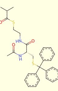 CC(=O)N[C@@H](CSC(c1ccccc1)(c1ccccc1)c1ccccc1)C(=O)NCCSC(=O)C(C)C